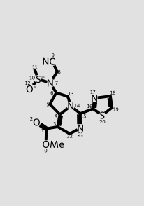 COC(=O)C1=C2CC(N(CC#N)[S+](C)[O-])CN2C(c2nccs2)=NC1